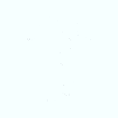 COc1ccc2c(c1)N(CCN1CCC(NC(=O)O)CC1)C(=O)CS2